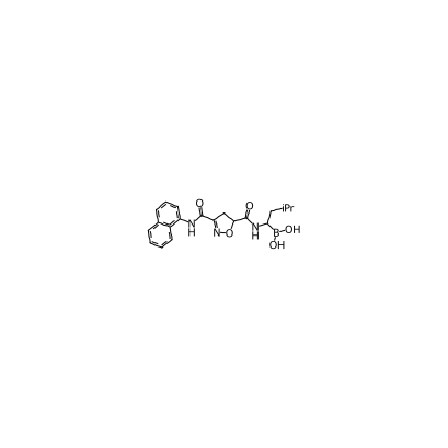 CC(C)CC(NC(=O)C1CC(C(=O)Nc2cccc3ccccc23)=NO1)B(O)O